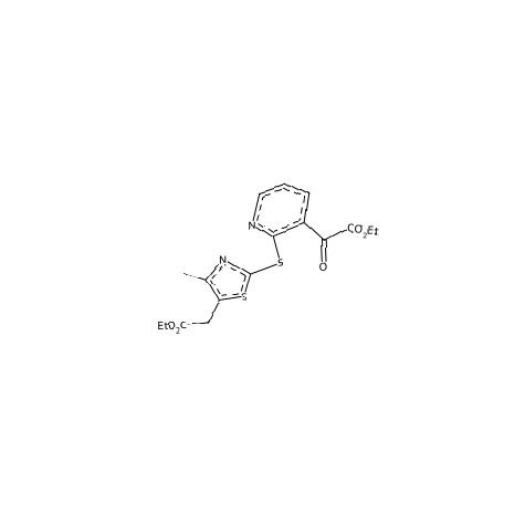 CCOC(=O)Cc1sc(Sc2ncccc2C(=O)C(=O)OCC)nc1C